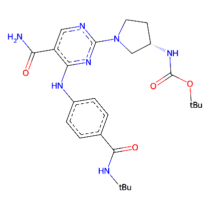 CC(C)(C)NC(=O)c1ccc(Nc2nc(N3CC[C@H](NC(=O)OC(C)(C)C)C3)ncc2C(N)=O)cc1